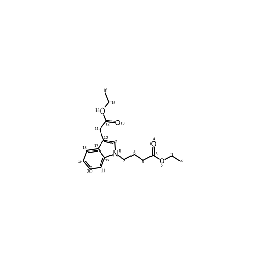 CCOC(=O)CCCn1cc(CC(=O)OCC)c2ccccc21